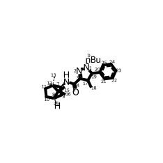 CCCCN1N=C(C(=O)N[C@H]2C[C@H]3CC[C@]2(C)C3(C)C)C(C)C1c1ccccc1